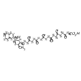 Cc1cnc(Nc2ccc3cnccc3c2)cc1OCCC(=O)CCC(=O)CCC(=O)CCC(=O)CCC(=O)CCC(=O)CC(=O)O